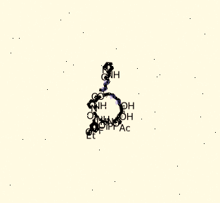 CCOc1cc(F)cc(C[C@@H]2NC(=O)[C@H](C(C)C)NC(=O)[C@H](CCC(C)=O)[C@H](O)[C@@H](C)[C@@H](O)/C=C/C=C/C[C@@H](/C(C)=C/C=C/C(=O)Nc3ccccn3)OC(=O)C3CCCN(N3)C2=O)c1